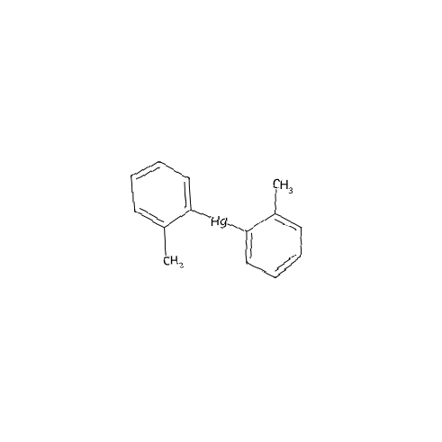 Cc1cccc[c]1[Hg][c]1ccccc1C